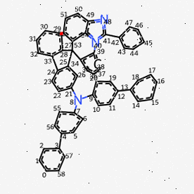 c1ccc(-c2ccc(N(c3ccc(-c4ccccc4)cc3)c3ccc4c(c3)C3(c5ccccc5-4)c4ccccc4-n4c(-c5ccccc5)nc5cccc3c54)cc2)cc1